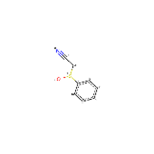 N#CC[S+]([O-])c1ccccc1